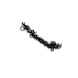 CC(CC1CCC(C)N1C(=O)c1ccc(N2CC3(CCN(C4CCN(c5ccc6c(c5)C(=O)N(C5CCC(=O)NC5=O)C6=O)CC4)CC3)C2)cc1)Oc1ccc(C#N)c(Cl)c1